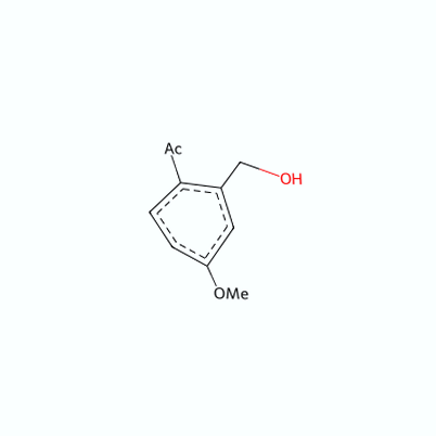 COc1ccc(C(C)=O)c(CO)c1